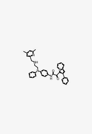 Cc1cc(C)nc(CNCCN(c2ccccc2)c2ccc(NC(=O)C(=O)c3c(-c4ccccc4)cc4ccccn34)cc2)c1